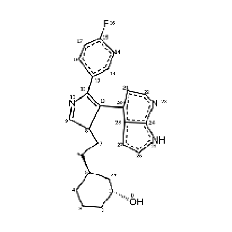 O[C@@H]1CCC[C@@H](CCC2C=NC(c3ccc(F)cc3)=C2c2ccnc3[nH]ccc23)C1